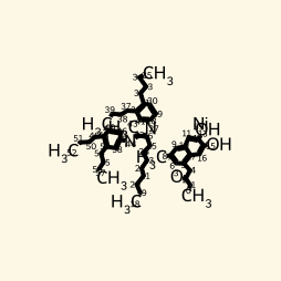 CCC(=O)Cc1cc(C)cc2cc(O)c(O)cc12.CCCCCCCCC(=Nc1ccc(CCCC)c(CCCC)c1)C(C)=Nc1ccc(CCCC)c(CCCC)c1.[Ni]